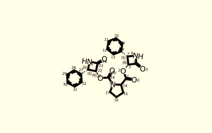 O=C(O[C@H]1C(=O)N[C@H]1c1ccccc1)C1CCCN1C(=O)O[C@H]1C(=O)N[C@H]1c1ccccc1